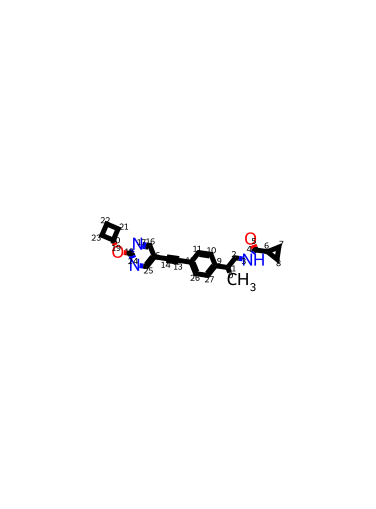 CC(CNC(=O)C1CC1)c1ccc(C#Cc2cnc(OC3CCC3)nc2)cc1